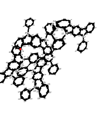 c1ccc(-c2nc(-c3ccc(-n4c5ccccc5c5cc6c7ccccc7n(-c7ccccc7)c6cc54)c(-c4cnccc4-n4c5ccccc5c5cc6c7ccccc7n(-c7ccccc7)c6cc54)c3)cc(-c3ccc(-n4c5ccccc5c5cc6c7ccccc7n(-c7ccccc7)c6cc54)c(-c4cnccc4-n4c5ccccc5c5cc6c7ccccc7n(-c7ccccc7)c6cc54)c3)n2)cc1